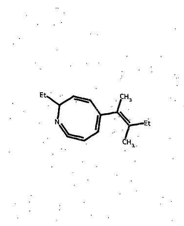 CC/C(C)=C(C)/C1=C/C=C=NC(CC)/C=C\1